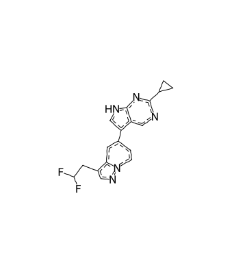 FC(F)Cc1cnn2ccc(-c3c[nH]c4nc(C5CC5)ncc34)cc12